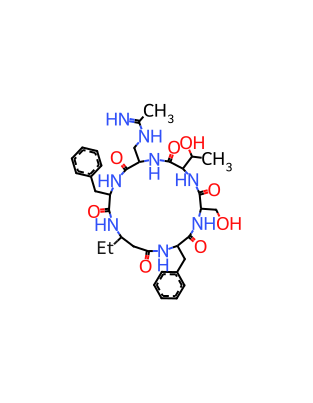 CCC1CC(=O)NC(Cc2ccccc2)C(=O)NC(CO)C(=O)NC(C(C)O)C(=O)NC(CNC(C)=N)C(=O)NC(Cc2ccccc2)C(=O)N1